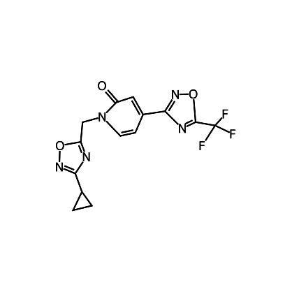 O=c1cc(-c2noc(C(F)(F)F)n2)ccn1Cc1nc(C2CC2)no1